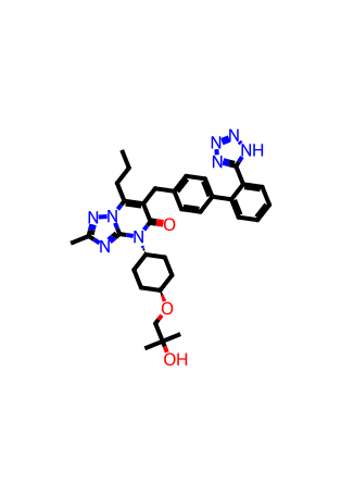 CCCc1c(Cc2ccc(-c3ccccc3-c3nnn[nH]3)cc2)c(=O)n([C@H]2CC[C@H](OCC(C)(C)O)CC2)c2nc(C)nn12